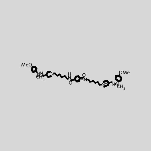 COc1ccc(N(C)/N=C/c2cc[n+](CCCCCCNC(=O)c3ccc(C(=O)NCCCCCC[n+]4ccc(/C=N/N(C)c5ccc(OC)cc5)cc4)cc3)cc2)cc1